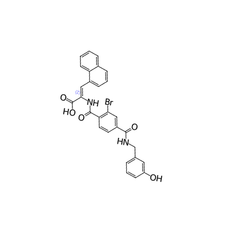 O=C(O)/C(=C/c1cccc2ccccc12)NC(=O)c1ccc(C(=O)NCc2cccc(O)c2)cc1Br